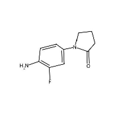 Nc1ccc(N2CCCC2=O)cc1F